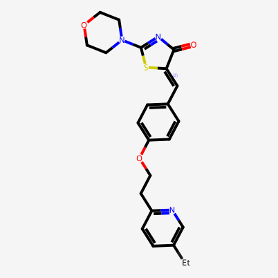 CCc1ccc(CCOc2ccc(/C=C3\SC(N4CCOCC4)=NC3=O)cc2)nc1